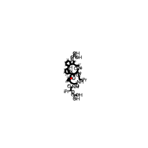 CC(C)C1NC(=O)[C@@H](NC(=O)[C@@H](OOP(O)O)C(C)C)Cc2ccc3c(c2)C24c5cccc(c5NC2O3)-c2cccc3c2c(cn3OP(O)O)-c2cnc(o2)-c2nc1oc24